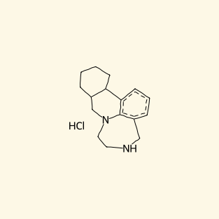 Cl.c1cc2c3c(c1)C1CCCCC1CN3CCNC2